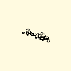 Cc1cc(-c2ccc(CN(C)CC(O)c3ccc4c(c3C)COC4=O)cc2)ncc1C#N